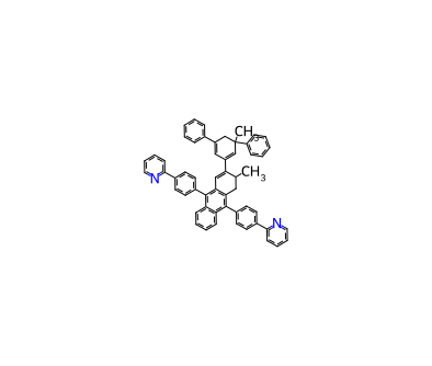 CC1Cc2c(c(-c3ccc(-c4ccccn4)cc3)c3ccccc3c2-c2ccc(-c3ccccn3)cc2)C=C1C1=CC(C)(c2ccccc2)CC(c2ccccc2)=C1